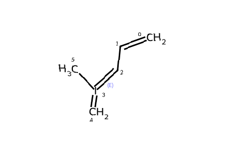 C=C/C=I(=C)\C